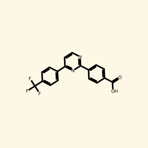 O=C(O)c1ccc(-c2nccc(-c3ccc(C(F)(F)F)cc3)n2)cc1